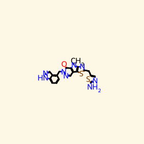 Cn1c2nc(Cc3cnc(N)s3)sc2c2cnn(Cc3cccc4[nH]ncc34)c(=O)c21